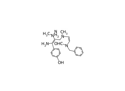 CN(/C=C\N(C=O)Cc1ccccc1)C/C(=C(/N)c1ccc(O)cc1)N(C)N